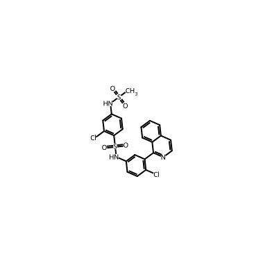 CS(=O)(=O)Nc1ccc(S(=O)(=O)Nc2ccc(Cl)c(-c3nccc4ccccc34)c2)c(Cl)c1